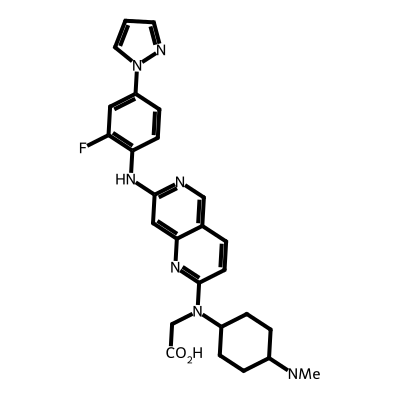 CNC1CCC(N(CC(=O)O)c2ccc3cnc(Nc4ccc(-n5cccn5)cc4F)cc3n2)CC1